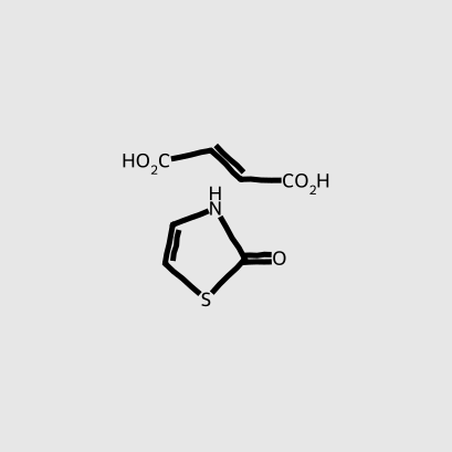 O=C(O)C=CC(=O)O.O=c1[nH]ccs1